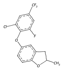 CC1Cc2cc(Oc3c(F)cc(C(F)(F)F)cc3Cl)ccc2O1